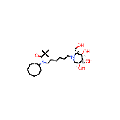 CC(C)(C)C(=O)N(CCCCCCN1C[C@H](O)[C@@H](O)[C@H](O)[C@H]1CO)C1CCCCCCC1